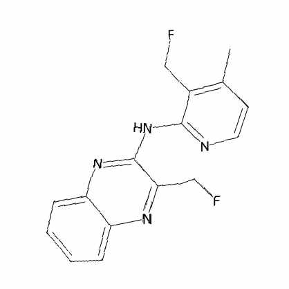 Cc1ccnc(Nc2nc3ccccc3nc2CF)c1CF